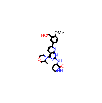 COc1ccc(-c2ccc3c(N4CCOCC4C)nc(NC4CCCNC4=O)nc3n2)cc1CO